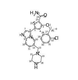 C[C@@H](Oc1cc(-c2cnc3ccc(CN4CCNCC4)cn23)sc1C(N)=O)c1ccccc1Cl